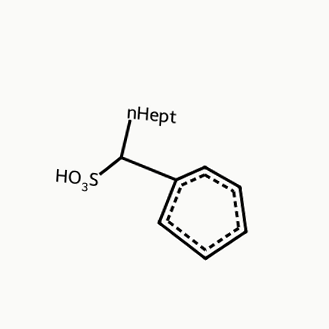 CCCCCCCC(c1ccccc1)S(=O)(=O)O